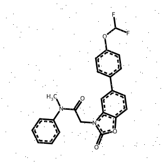 CN(C(=O)Cn1c(=O)oc2ccc(-c3ccc(OC(F)F)cc3)cc21)c1ccccc1